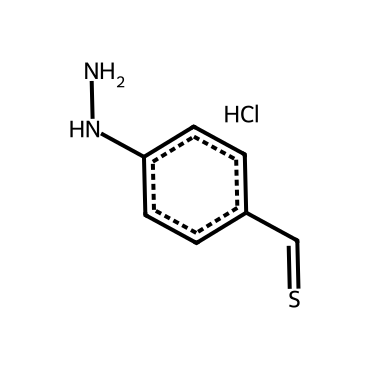 Cl.NNc1ccc(C=S)cc1